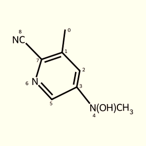 Cc1cc(N(C)O)cnc1C#N